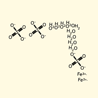 O.O.O.O.O.O.O.O.O.O=S(=O)([O-])[O-].O=S(=O)([O-])[O-].O=S(=O)([O-])[O-].[Fe+3].[Fe+3]